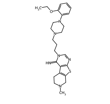 CCOc1ccccc1N1CCN(CCCn2cnc3sc4c(c3c2=N)CCN(C)C4)CC1